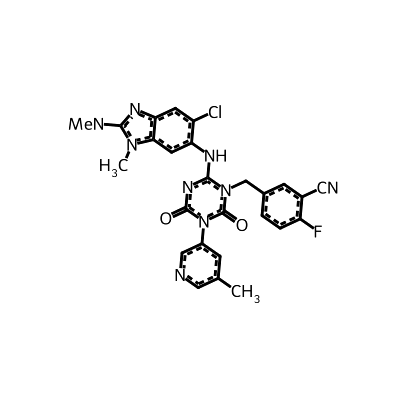 CNc1nc2cc(Cl)c(Nc3nc(=O)n(-c4cncc(C)c4)c(=O)n3Cc3ccc(F)c(C#N)c3)cc2n1C